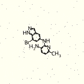 Cc1ccc(N)c(Nc2cc(Br)c3[nH]ncc3c2)n1